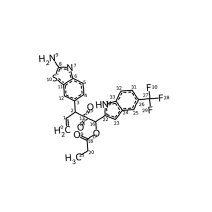 C=CC(c1ccc2nc(N)sc2c1)S(=O)(=O)C(OC(=O)CC)c1cc2cc(C(F)(F)F)ccc2[nH]1